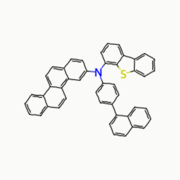 c1ccc2c(-c3ccc(N(c4ccc5ccc6c7ccccc7ccc6c5c4)c4cccc5c4sc4ccccc45)cc3)cccc2c1